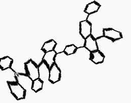 c1ccc(-c2ccc3c(-c4ccc(-c5c6ccccc6c(-c6ccc(N(c7ccccc7)c7ccccc7)c7ccccc67)c6ccccc56)cc4)c4ccccc4c(-c4ccccc4)c3c2)cc1